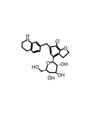 OC[C@H]1O[C@@H](c2cc(Cc3ccc4c(c3)NCCC4)c(Cl)c3c2CCO3)[C@H](O)[C@@H](O)[C@@H]1O